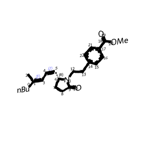 CCCC/C(C)=C/C=C\[C@H]1CCC(=O)N1CCc1ccc(C(=O)OC)cc1